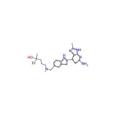 CCC(C)(O)CCCN(C)Cc1ccc2[nH]c(-c3cc(N)nc4[nH]c(C)nc34)cc2c1